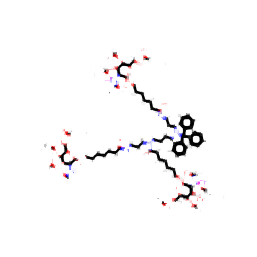 CC(=O)NC1C(OC(C)=O)[C@@H](OC(C)=O)C(COC(C)=O)O[C@H]1OCCCCCCC(=O)NCCCN(CCCCN(CCCNC(=O)CCCCCCO[C@@H]1OC(COC(C)=O)[C@H](OC(C)=O)C(OC(C)=O)C1NC(C)=O)C(c1ccccc1)(c1ccccc1)c1ccccc1)C(=O)CCCCCCO[C@@H]1OC(COC(C)=O)[C@H](OC(C)=O)C(OC(C)=O)[C@@H]1NC(C)=O